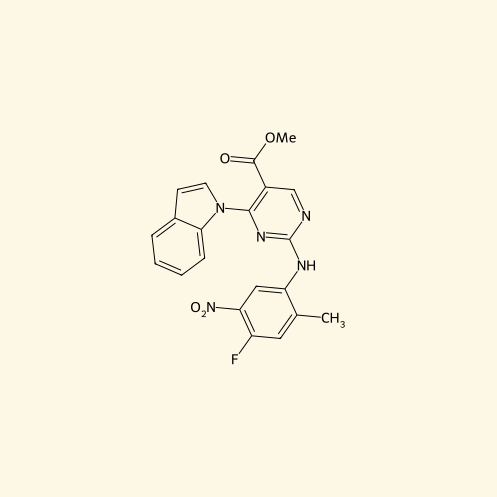 COC(=O)c1cnc(Nc2cc([N+](=O)[O-])c(F)cc2C)nc1-n1ccc2ccccc21